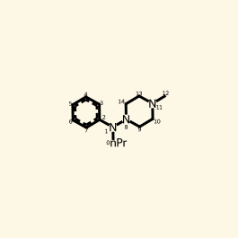 CCCN(c1ccccc1)N1CCN(C)CC1